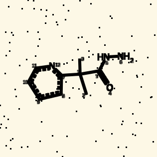 CC(C)(C(=O)NN)c1ccccn1